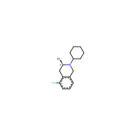 CC[C@@H]1Cc2c(F)cccc2CN1C1CCCCC1